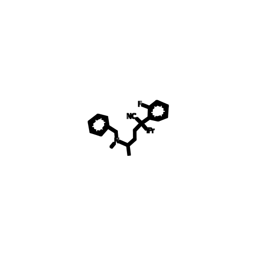 CC(CCC(C#N)(c1ccccc1F)C(C)C)N(C)Cc1ccccc1